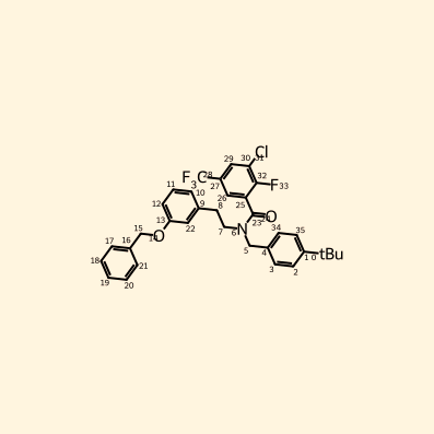 CC(C)(C)c1ccc(CN(CCc2cccc(OCc3ccccc3)c2)C(=O)c2cc(C(F)(F)F)cc(Cl)c2F)cc1